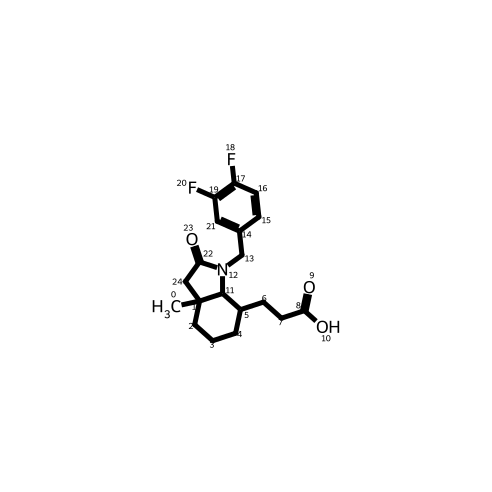 CC12CCCC(CCC(=O)O)C1N(Cc1ccc(F)c(F)c1)C(=O)C2